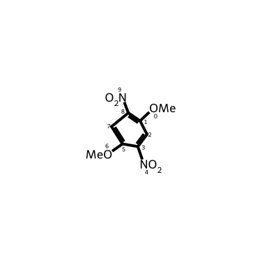 COc1cc([N+](=O)[O-])c(OC)cc1[N+](=O)[O-]